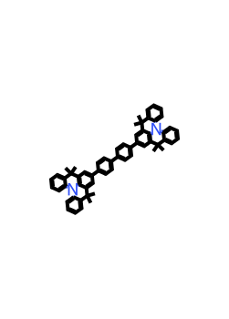 CC1(C)c2ccccc2N2c3ccccc3C(C)(C)c3cc(-c4ccc(-c5ccc(-c6cc7c8c(c6)C(C)(C)c6ccccc6N8c6ccccc6C7(C)C)cc5)cc4)cc1c32